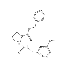 CSc1cncc(CNC(=O)[C@@H]2CCCN2C(=O)OCc2ccccc2)c1